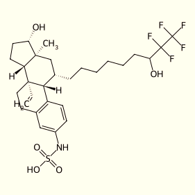 C=C[C@@]12CCc3cc(NS(=O)(=O)O)ccc3[C@H]1[C@@H](CCCCCCC(O)C(F)(F)C(F)(F)F)C[C@@]1(C)[C@H]2CC[C@@H]1O